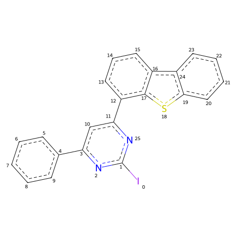 Ic1nc(-c2ccccc2)cc(-c2cccc3c2sc2ccccc23)n1